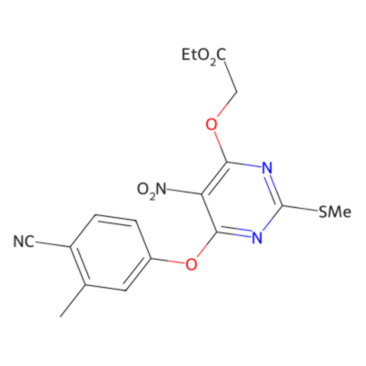 CCOC(=O)COc1nc(SC)nc(Oc2ccc(C#N)c(C)c2)c1[N+](=O)[O-]